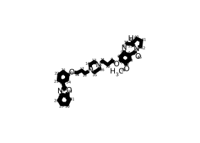 COc1cc2c(cc1OCCCN1CCN(CCCOc3cccc(-c4nc5ccccc5o4)c3)CC1)N=C[C@@H]1CCCN1C2=O